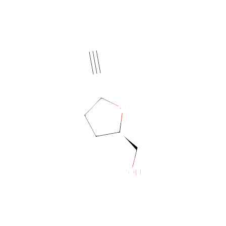 C#C[C@H]1CC[C@H](CO)O1